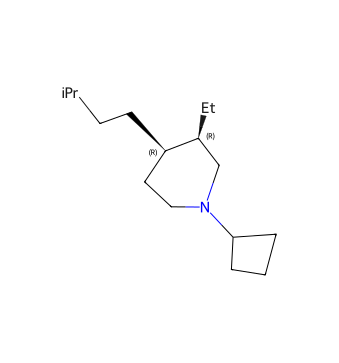 CC[C@H]1CN(C2CCC2)CC[C@H]1CCC(C)C